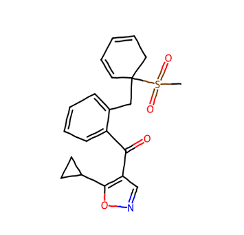 CS(=O)(=O)C1(Cc2ccccc2C(=O)c2cnoc2C2CC2)C=CC=CC1